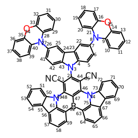 N#Cc1c(-n2c3ccc(N4c5ccccc5Oc5ccccc54)cc3c3cc(N4c5ccccc5Oc5ccccc54)ccc32)c(C#N)c2c3c1-n1c4ccccc4c4cccc(c41)B3c1cccc3c4ccccc4n-2c13